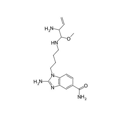 C=CC(N)C(NCCCCn1c(N)nc2cc(C(N)=O)ccc21)OC